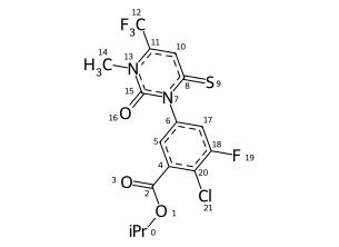 CC(C)OC(=O)c1cc(-n2c(=S)cc(C(F)(F)F)n(C)c2=O)cc(F)c1Cl